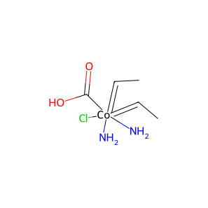 C[CH]=[Co]([NH2])([NH2])([Cl])(=[CH]C)[C](=O)O